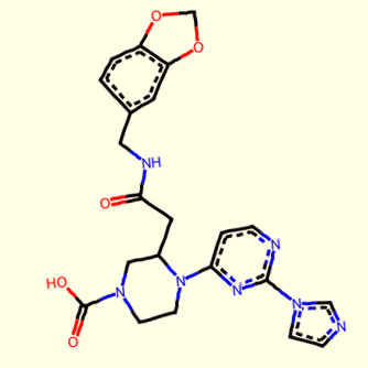 O=C(CC1CN(C(=O)O)CCN1c1ccnc(-n2ccnc2)n1)NCc1ccc2c(c1)OCO2